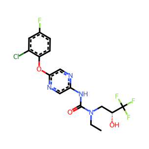 CCN(C[C@@H](O)C(F)(F)F)C(=O)Nc1cnc(Oc2ccc(F)cc2Cl)cn1